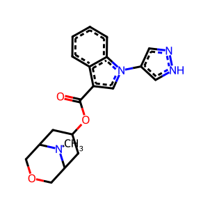 CN1C2COCC1CC(OC(=O)c1cn(-c3cn[nH]c3)c3ccccc13)C2